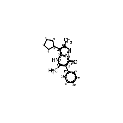 Cc1[nH]c2c(C3CCCC3)c(C(F)(F)F)nn2c(=O)c1-c1ccccc1